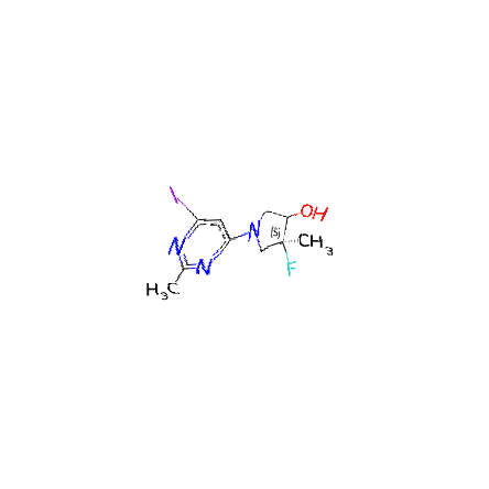 Cc1nc(I)cc(N2CC(O)[C@@](C)(F)C2)n1